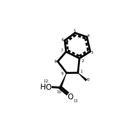 C[C@@H]1c2ccccc2C[C@@H]1C(=O)O